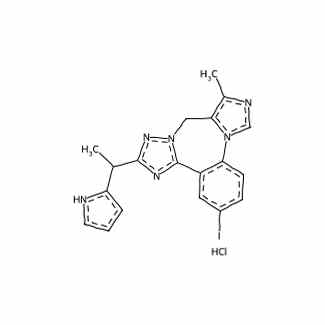 Cc1ncn2c1Cn1nc(C(C)c3ccc[nH]3)nc1-c1cc(I)ccc1-2.Cl